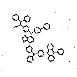 N#CC(=C(c1ccccc1)c1ccccc1)c1ccc(N(c2ccc(-c3ccccc3)cc2)c2ccc(-c3ccc4c5ccccc5n(-c5ccc(-c6c7ccccc7c(-c7ccccc7)c7ccccc67)cc5)c4c3)c3nsnc23)cc1